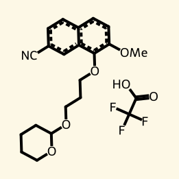 COc1ccc2ccc(C#N)cc2c1OCCCOC1CCCCO1.O=C(O)C(F)(F)F